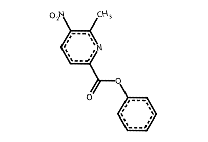 Cc1nc(C(=O)Oc2ccccc2)ccc1[N+](=O)[O-]